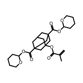 C=C(C)C(=O)OC12CC3CC(C(=O)OC4CCCCO4)(C1)CC(C(=O)OC1CCCCO1)(C3)C2